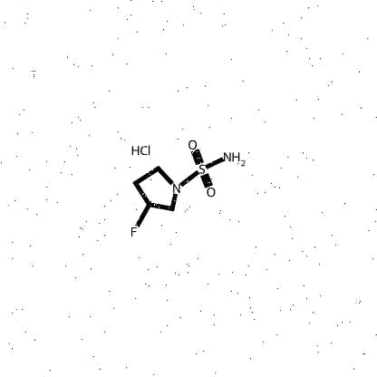 Cl.NS(=O)(=O)N1CCC(F)C1